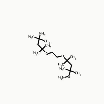 CC(C)(N)CC(C)(C)OCCOC(C)(C)CC(C)(C)SN